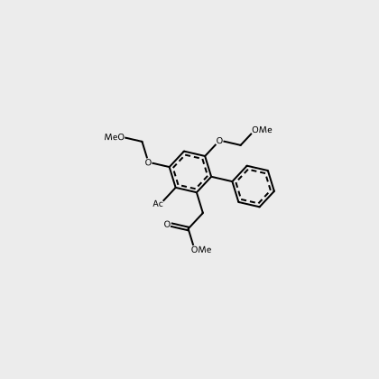 COCOc1cc(OCOC)c(-c2ccccc2)c(CC(=O)OC)c1C(C)=O